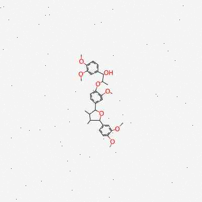 COc1ccc(C(O)C(C)Oc2ccc(C3OC(c4ccc(OC)c(OC)c4)C(C)C3C)cc2OC)cc1OC